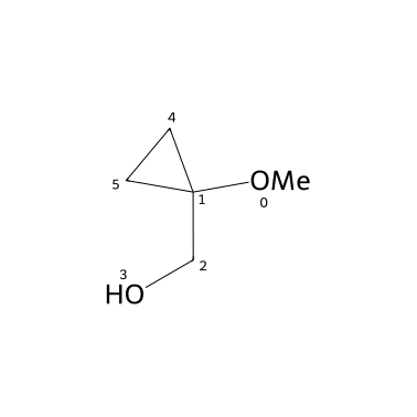 COC1(CO)CC1